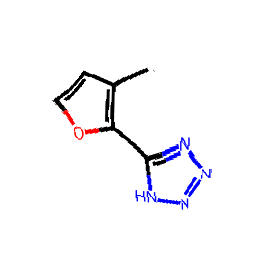 [CH2]c1ccoc1-c1nnn[nH]1